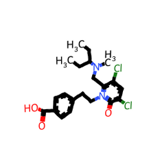 CCC(CC)N(C)Cc1c(Cl)cc(Cl)c(=O)n1CCc1ccc(C(=O)O)cc1